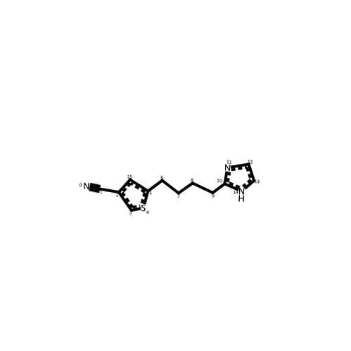 N#Cc1csc(CCCCc2ncc[nH]2)c1